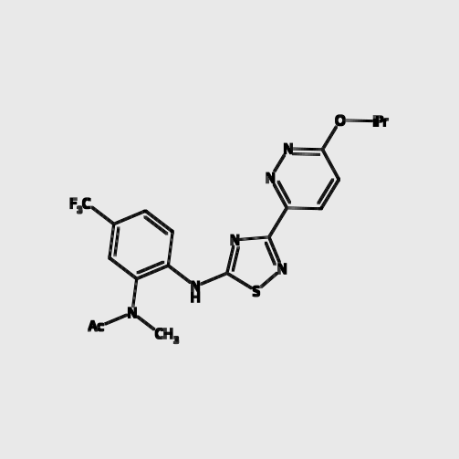 CC(=O)N(C)c1cc(C(F)(F)F)ccc1Nc1nc(-c2ccc(OC(C)C)nn2)ns1